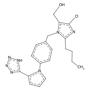 CCCCc1nc(Cl)c(CO)n1Cc1ccc(-n2cccc2-c2nnn[nH]2)cc1